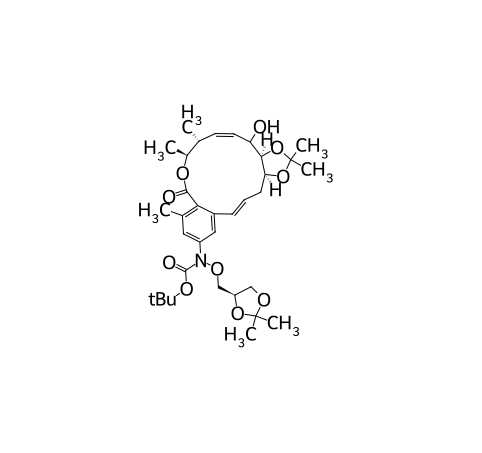 Cc1cc(N(OC[C@H]2COC(C)(C)O2)C(=O)OC(C)(C)C)cc2c1C(=O)O[C@@H](C)[C@H](C)/C=C\C(O)[C@H]1OC(C)(C)O[C@H]1C/C=C/2